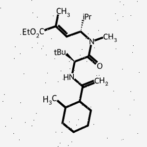 C=C(N[C@H](C(=O)N(C)[C@H](/C=C(\C)C(=O)OCC)C(C)C)C(C)(C)C)C1CCCCC1C